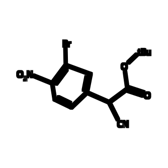 CC(C)(C)OC(=O)C(C#N)c1ccc([N+](=O)[O-])c(Br)c1